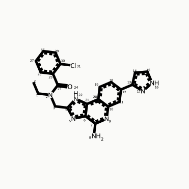 CCN(Cc1nc2c(N)nc3cc(-c4cc[nH]n4)ccc3c2[nH]1)C(=O)c1ccccc1Cl